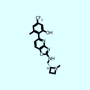 Cc1cc(C(F)(F)F)cc(O)c1-c1ccc2oc(NC[C@H]3CCN3C)nc2n1